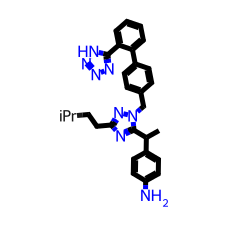 CC(C)CCc1nc(C(C)c2ccc(N)cc2)n(Cc2ccc(-c3ccccc3-c3nnn[nH]3)cc2)n1